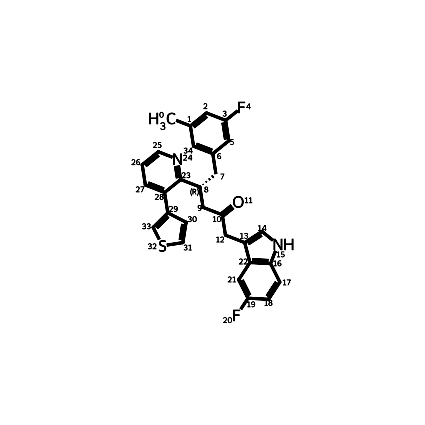 Cc1cc(F)cc(C[C@H](CC(=O)Cc2c[nH]c3ccc(F)cc23)c2ncccc2-c2ccsc2)c1